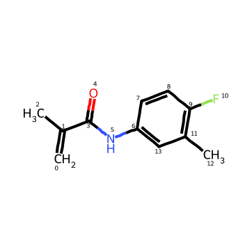 C=C(C)C(=O)Nc1ccc(F)c(C)c1